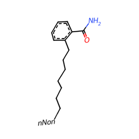 CCCCCCCCCCCCCCCCc1ccccc1C(N)=O